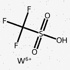 O=S(=O)(O)C(F)(F)F.[W+6]